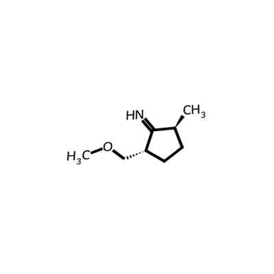 COC[C@H]1CC[C@H](C)C1=N